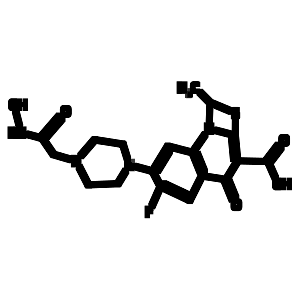 CC1Sc2c(C(=O)O)c(=O)c3cc(F)c(N4CCN(CC(=O)NO)CC4)cc3n21